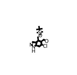 CC(C)(C)[Si](C)(C)OCc1c(C=O)c(Cl)cc2[nH]ncc12